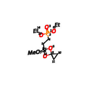 CCOP(=O)(CC[Si]1(OC)OC2(CC2)O1)OCC